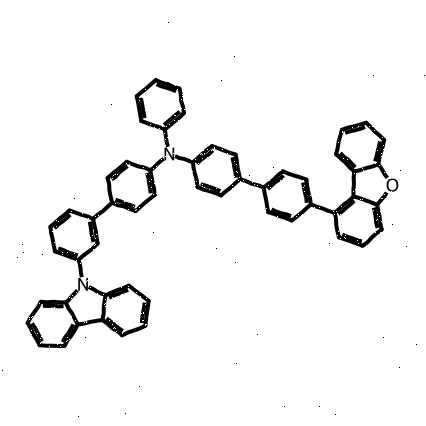 c1ccc(N(c2ccc(-c3ccc(-c4cccc5oc6ccccc6c45)cc3)cc2)c2ccc(-c3cccc(-n4c5ccccc5c5ccccc54)c3)cc2)cc1